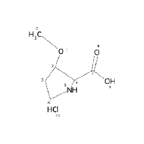 COC1CCNC1C(=O)O.Cl